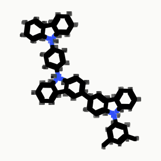 Cc1cc(C)cc(-n2c3ccccc3c3cc(-c4ccc5c(c4)c4ccccc4n5-c4ccc(-n5c6ccccc6c6ccccc65)cc4)ccc32)c1